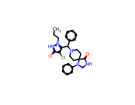 CCCn1[nH]c(=O)c(Cl)c1C(c1ccccc1)N1CCC2(CC1)C(=O)NCN2c1ccccc1